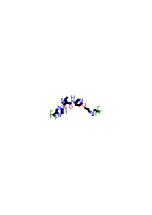 Cc1nsc(Nc2cnc(C(F)(F)F)cn2)c1C(=O)Nc1ccc(OCCCN(C)CC(F)(F)F)nc1